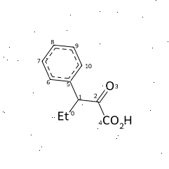 CCC(C(=O)C(=O)O)c1ccccc1